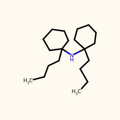 CCCCC1(NC2(CCCC)CCCCC2)CCCCC1